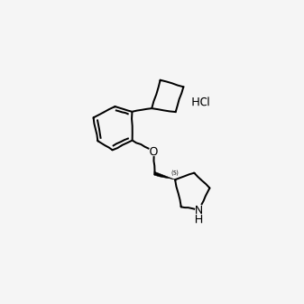 Cl.c1ccc(C2CCC2)c(OC[C@H]2CCNC2)c1